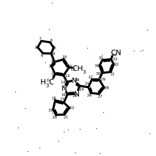 Cc1cc(C2CCCCC2)cc(C)c1-c1nc(-c2ccccc2)nc(-c2cccc(-c3ccc(C#N)cc3)c2)n1